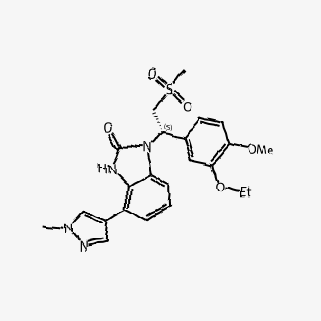 CCOc1cc([C@@H](CS(C)(=O)=O)n2c(=O)[nH]c3c(-c4cnn(C)c4)cccc32)ccc1OC